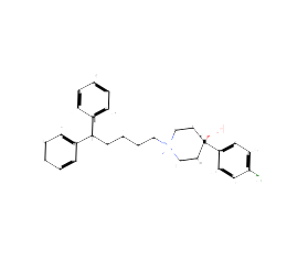 C[N+]1(CCCCC(C2=CCCC=C2)c2ccccc2)CCC(O)(c2ccc(Cl)cc2)CC1